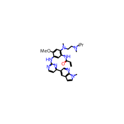 C=CC(=O)Nc1cc(Nc2nccc(-c3cnc4c(ccn4C)c3)n2)c(OC)cc1N(C)CCN(C)C(C)C